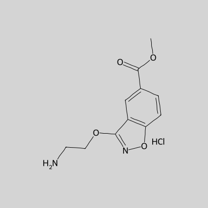 COC(=O)c1ccc2onc(OCCN)c2c1.Cl